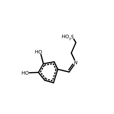 O=S(=O)(O)CC/N=C\c1ccc(O)c(O)c1